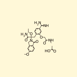 CC(=O)O.CCOC(Cc1ccc(C(=N)N)cc1OCC(=O)NC)(C(N)=O)N1Cc2cc(OC)ccc2C1=O